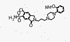 COc1ccccc1N1CCN(CCCN2Cc3cc(Cl)c(S(N)(=O)=O)cc3C2=O)CC1